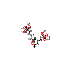 C=C(CCCC[Si](OC)(OC)OC)OC(=C)CCCC[Si](OC)(OC)OC